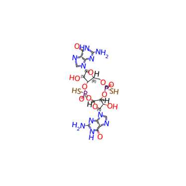 Nc1nc2c(ncn2[C@@H]2O[C@@H]3O[P@@](=O)(S)OC4[C@@H](CO[P@@](=O)(S)O[C@@H]3C2O)O[C@@H](n2cnc3c(=O)[nH]c(N)nc32)[C@H]4O)c(=O)[nH]1